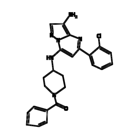 Bc1cnn2c(NC3CCN(C(=O)c4ccccc4)CC3)cc(-c3ccccc3Cl)nc12